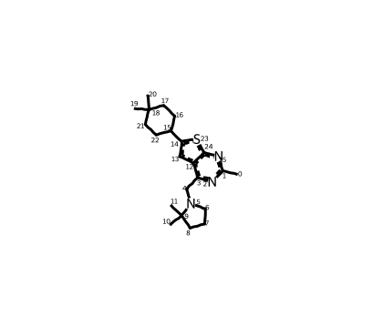 Cc1nc(CN2CCCC2(C)C)c2cc(C3CCC(C)(C)CC3)sc2n1